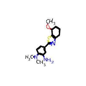 COC1CCCc2nc(-c3ccc(N(C)C)c(N)c3)sc21